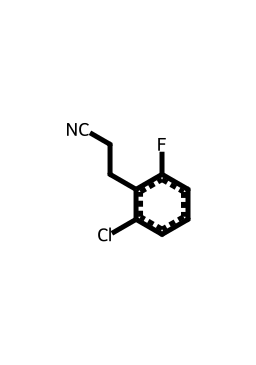 N#CCCc1c(F)cccc1Cl